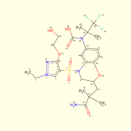 CCn1cc(S(=O)(=O)N2CC(CC(C)(C)C(N)=O)Oc3ccc(N(C(=O)O)C(C)(C)C(F)(F)F)cc32)c(OCCO)n1